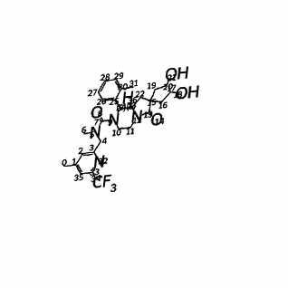 Cc1cc(CN(C)C(=O)N2CCN3C(=O)C(CCO)(CCO)C[C@H]3[C@@H]2c2ccccc2C)nc(C(F)(F)F)c1